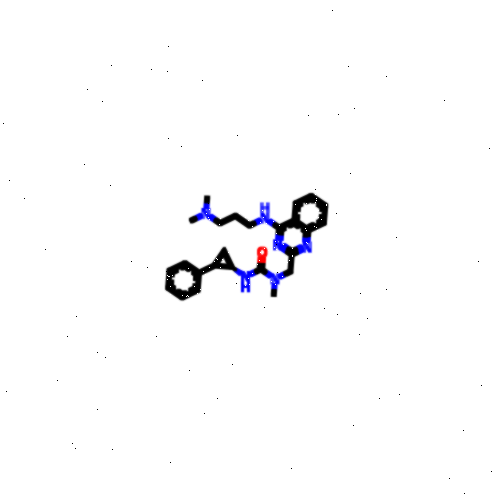 CN(C)CCCNc1nc(CN(C)C(=O)N[C@@H]2CC2c2ccccc2)nc2ccccc12